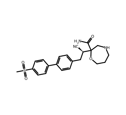 CS(=O)(=O)c1ccc(-c2ccc(C[C@@H](C#N)C3(C(N)=O)CNCCCO3)cc2)cc1